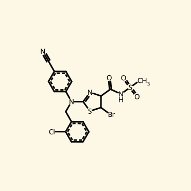 CS(=O)(=O)NC(=O)C1N=C(N(Cc2ccccc2Cl)c2ccc(C#N)cc2)SC1Br